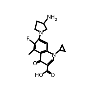 Cc1c(F)c(N2CCC(N)C2)cc2c1c(=O)c(C(=O)O)cn2C1CC1